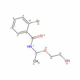 CC(NC(=O)c1ccccc1Br)OCCO